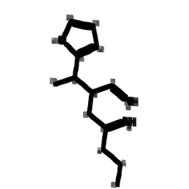 CCCC(=N)CC(C=N)C(C)c1ccco1